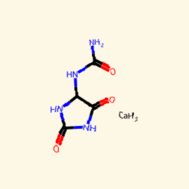 NC(=O)NC1NC(=O)NC1=O.[CaH2]